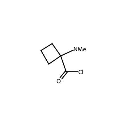 CNC1(C(=O)Cl)CCC1